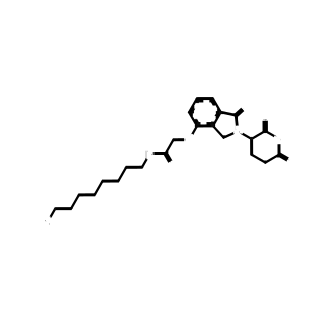 NCCCCCCCCNC(=O)COc1cccc2c1CN(C1CCC(=O)NC1=O)C2=O